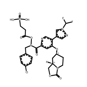 O=C(CCP(=O)(O)O)ON(Cc1ccc(Cl)cc1)C(=O)c1cc(O[C@H]2CCN3C(=O)OC[C@@H]3C2)c(-c2cnn(C(F)F)c2)cn1